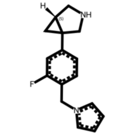 Fc1cc(C23CNC[C@H]2C3)ccc1Cn1cccc1